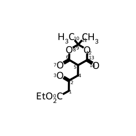 CCOC(=O)CC(=O)CC1C(=O)OC(C)(C)OC1=O